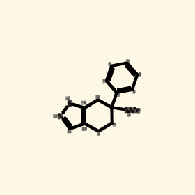 CNC1(c2ccccc2)CCc2cnsc2C1